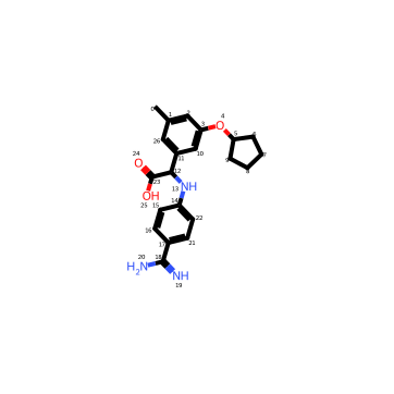 Cc1cc(OC2CCCC2)cc(C(Nc2ccc(C(=N)N)cc2)C(=O)O)c1